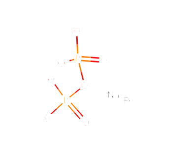 O=P([O-])([O-])OP(=O)([O-])[O-].[Fe+3].[Na+]